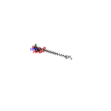 CCCCCCCCCCCCCCCCCCCCCC(=O)OC[C@H]1O[C@@H](n2cc(F)c(=O)[nH]c2=O)[C@H](O)[C@@H]1O